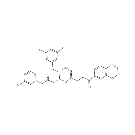 CCc1cccc(CNC[C@@H](OC(=O)CCC(=O)c2ccc3c(c2)OCCO3)[C@@H](N)Cc2cc(F)cc(F)c2)c1